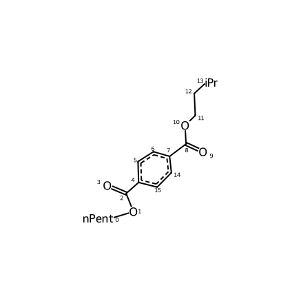 CCCCCOC(=O)c1ccc(C(=O)OCCC(C)C)cc1